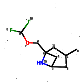 CC1CC2CC(COC(F)F)(C1)N2